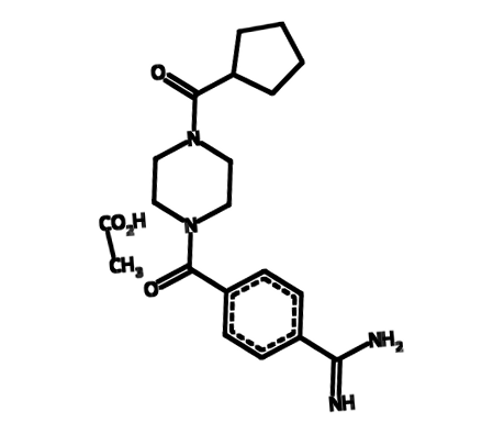 CC(=O)O.N=C(N)c1ccc(C(=O)N2CCN(C(=O)C3CCCC3)CC2)cc1